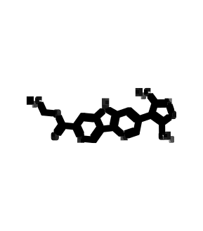 CCOC(=O)c1cc2[nH]c3cc(-c4c(C)noc4C)cnc3c2cn1